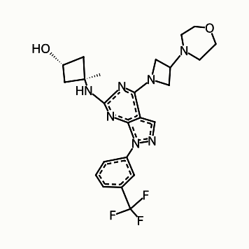 C[C@]1(Nc2nc(N3CC(N4CCOCC4)C3)c3cnn(-c4cccc(C(F)(F)F)c4)c3n2)C[C@H](O)C1